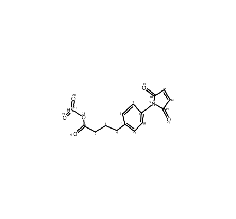 O=C(CCCc1ccc(N2C(=O)C=CC2=O)cc1)O[SH](=O)=O